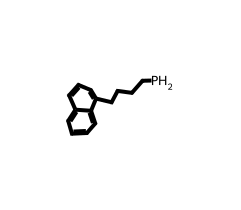 PCCCCc1cccc2ccccc12